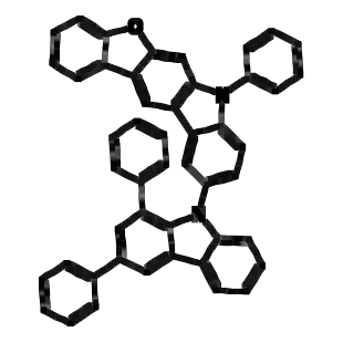 c1ccc(-c2cc(-c3ccccc3)c3c(c2)c2ccccc2n3-c2ccc3c(c2)c2cc4c(cc2n3-c2ccccc2)oc2ccccc24)cc1